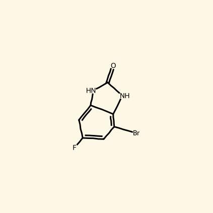 O=c1[nH]c2cc(F)cc(Br)c2[nH]1